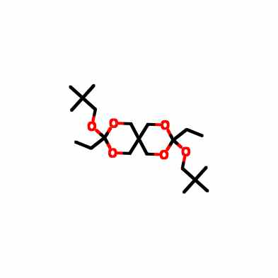 CCC1(OCC(C)(C)C)OCC2(CO1)COC(CC)(OCC(C)(C)C)OC2